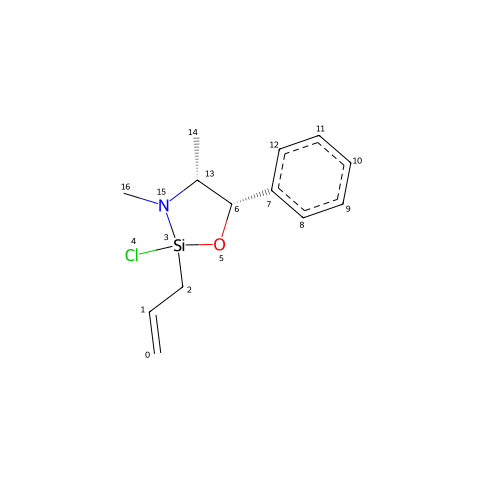 C=CC[Si]1(Cl)O[C@@H](c2ccccc2)[C@@H](C)N1C